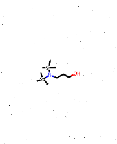 C[Si](C)(C)N(CCCO)[Si](C)(C)C